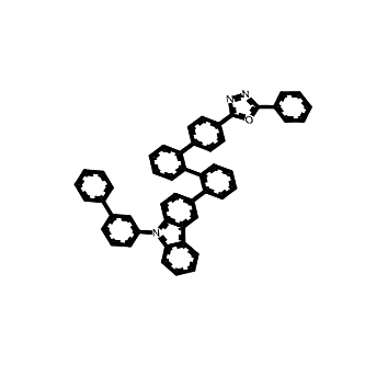 c1ccc(-c2cccc(-n3c4ccccc4c4cc(-c5ccccc5-c5ccccc5-c5ccc(-c6nnc(-c7ccccc7)o6)cc5)ccc43)c2)cc1